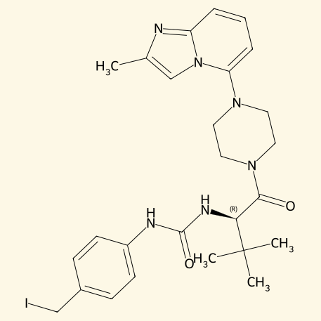 Cc1cn2c(N3CCN(C(=O)[C@H](NC(=O)Nc4ccc(CI)cc4)C(C)(C)C)CC3)cccc2n1